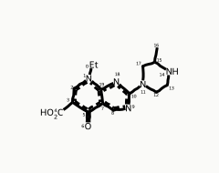 CCn1cc(C(=O)O)c(=O)c2cnc(N3CCNC(C)C3)nc21